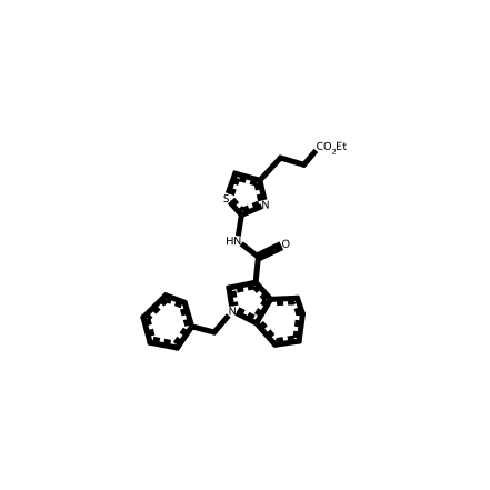 CCOC(=O)CCc1csc(NC(=O)c2cn(Cc3ccccc3)c3ccccc23)n1